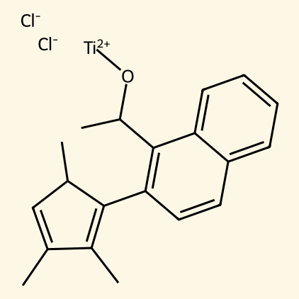 CC1=CC(C)C(c2ccc3ccccc3c2C(C)[O][Ti+2])=C1C.[Cl-].[Cl-]